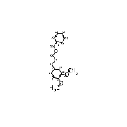 COc1ccc(CCCOCc2ccccc2)cc1OC